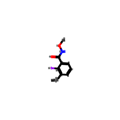 CCONC(=O)c1cccc(C(=O)O)c1I